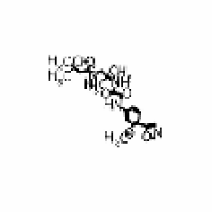 COc1cc(NC(=O)C(=O)NC(C)(C)CNC(=O)CC(C)(C)C)ccc1-c1cnco1